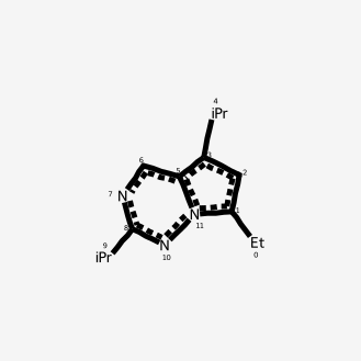 CCc1cc(C(C)C)c2cnc(C(C)C)nn12